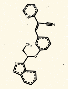 [CH2]C[C@@H](Oc1cccc(C=C(C#N)c2ccccn2)c1)c1occ2ccccc12